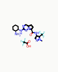 Cn1ncc(NC(=O)c2ccc3cnc(N[C@@H]4CCCC[C@@H]4N)nn23)c1C(F)(F)F.O=C(O)C(F)(F)F